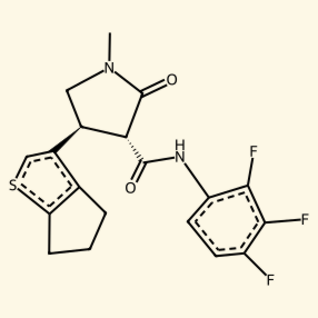 CN1C[C@H](c2csc3c2CCC3)[C@@H](C(=O)Nc2ccc(F)c(F)c2F)C1=O